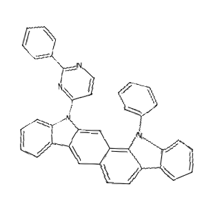 c1ccc(-c2nccc(-n3c4ccccc4c4cc5ccc6c7ccccc7n(-c7ccccc7)c6c5cc43)n2)cc1